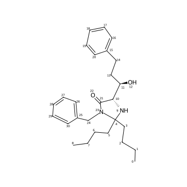 CCCCC1(CCCC)N[C@@H]([C@H](O)CCc2ccccc2)C(=O)N1Cc1ccccc1